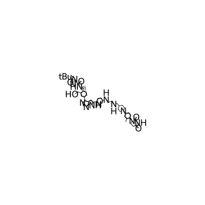 Cc1cc(N2CCC(CNCCNc3ccc(-c4cc5c(-c6ccc([C@@H](C)NC(=O)c7noc(C(C)(C)C)n7)c(CO)c6)ncnc5[nH]4)nc3)CC2)ccc1N1CCC(=O)NC1=O